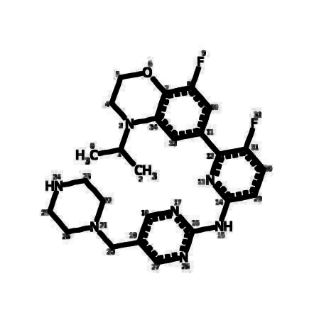 CC(C)N1CCOc2c(F)cc(-c3nc(Nc4ncc(CN5CCNCC5)cn4)ccc3F)cc21